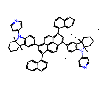 CC12CCCCC1(C)N(c1ccncc1)c1ccc(-c3cc(-c4cccc5ccccc45)c4ccc5c(-c6ccc7c(c6)C6(C)CCCCC6(C)N7c6ccncc6)cc(-c6cccc7ccccc67)c6ccc3c4c56)cc12